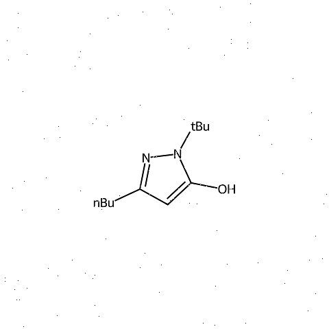 CCCCc1cc(O)n(C(C)(C)C)n1